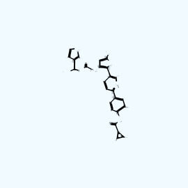 CC(OC(=O)Nc1cc(Cl)sc1-c1ccc(-c2ccc(OC(=O)C3CC3)cc2)nc1)c1ccsc1